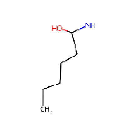 CCCCCC([NH])O